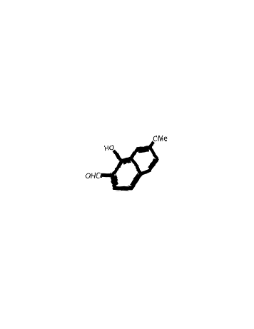 COc1ccc2ccc(C=O)c(O)c2c1